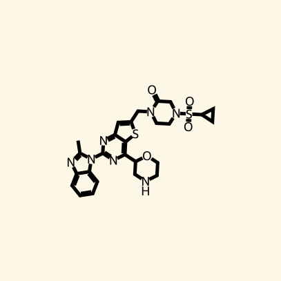 Cc1nc2ccccc2n1-c1nc(C2CNCCO2)c2sc(CN3CCN(S(=O)(=O)C4CC4)CC3=O)cc2n1